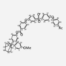 COc1ccc(C2(c3ccc(OC(=O)c4ccc(Oc5ccc(S(=O)(=O)c6ccc(Oc7ccc(C(C)=O)cc7)cc6)cc5)cc4)cc3)C3CC4CC(C3)CC2C4)cc1